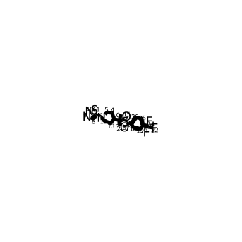 CC(C)(C1CCN(c2cnns2)CC1)S(=O)(=O)c1ccc(C(F)(F)F)cc1